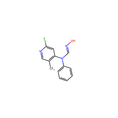 ON=CN(c1ccccc1)c1cc(F)ncc1C(F)(F)F